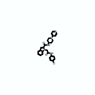 O=C(Cn1c(C(=O)NC2CCN(c3ccncc3)CC2)cc2ccccc21)Nc1ccc(Cl)cc1